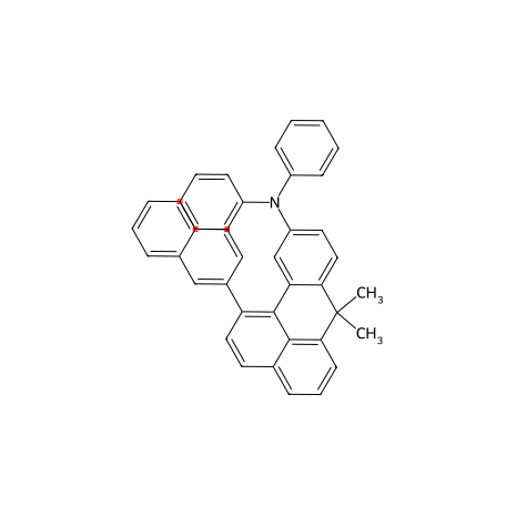 CC1(C)c2ccc(N(c3ccccc3)c3ccccc3)cc2-c2c(-c3ccc4ccccc4c3)ccc3cccc1c23